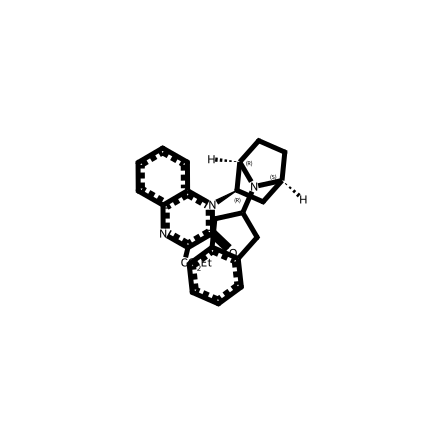 CCOC(=O)c1nc2ccccc2n([C@@H]2C[C@@H]3CC[C@H]2N3C2Cc3ccccc3C2)c1=O